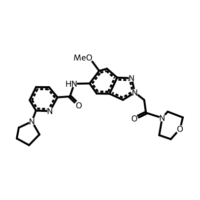 COc1cc2nn(CC(=O)N3CCOCC3)cc2cc1NC(=O)c1cccc(N2CCCC2)n1